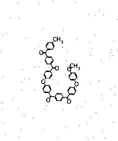 COc1ccc(Oc2ccc(C(=O)c3ccc(C(=O)c4ccc(Oc5ccc(C(=O)c6ccc(C(=O)c7ccc(C)cc7)cc6)cc5)cc4)cc3)cc2)cc1